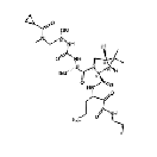 C=CCNC(=O)C(=O)C(CCC(F)(F)F)NC(=O)[C@@H]1[C@@H]2[C@H](CN1C(=O)[C@@H](NC(=O)N[C@H](CN(C)C(=O)C1CC1)C(C)(C)C)C(C)(C)C)C2(C)C